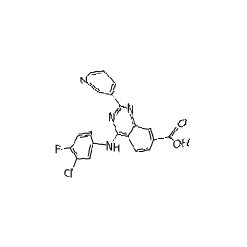 O=C(O)c1ccc2c(Nc3ccc(F)c(Cl)c3)nc(-c3cccnc3)nc2c1